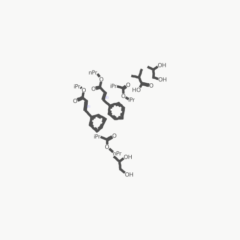 CC(C)C(=O)O.CC(C)OC(=O)/C=C/c1ccccc1.CC(C)OC(=O)C(C)C.CC(O)CO.CC(O)CO.CCCOC(=O)/C=C/c1ccccc1.CCCOC(=O)C(C)C